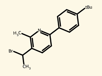 Cc1nc(-c2ccc(C(C)(C)C)cc2)ccc1C(C)Br